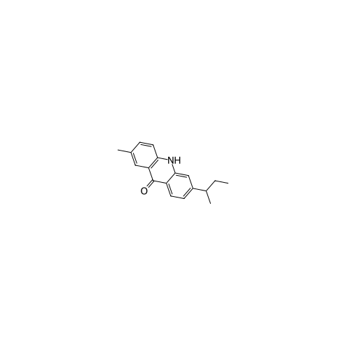 CCC(C)c1ccc2c(=O)c3cc(C)ccc3[nH]c2c1